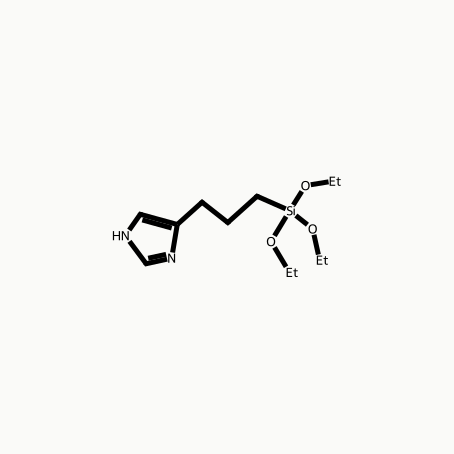 CCO[Si](CCCc1c[nH]cn1)(OCC)OCC